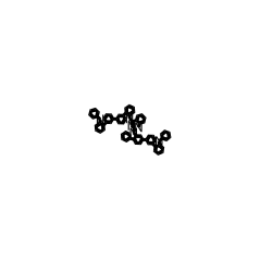 c1ccc(-n2c3ccccc3c3cc(-c4ccc5c(c4)c4ccccc4n5-c4nc(-n5c6ccccc6c6ccc(-c7ccc8c(c7)c7ccccc7n8-c7ccccc7)cc65)nc5ccccc45)ccc32)cc1